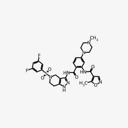 Cc1oncc1C(=O)Nc1cc(N2CCN(C)CC2)ccc1C(=O)Nc1n[nH]c2c1CN(S(=O)(=O)c1cc(F)cc(F)c1)CC2